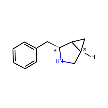 c1ccc(C[C@H]2NC[C@@H]3CC32)cc1